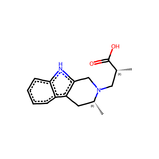 C[C@H](CN1Cc2[nH]c3ccccc3c2C[C@H]1C)C(=O)O